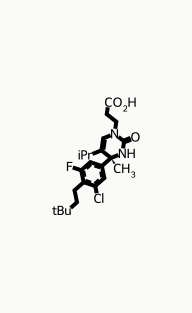 CC(C)C1=CN(CCC(=O)O)C(=O)N[C@@]1(C)c1cc(F)c(CCC(C)(C)C)c(Cl)c1